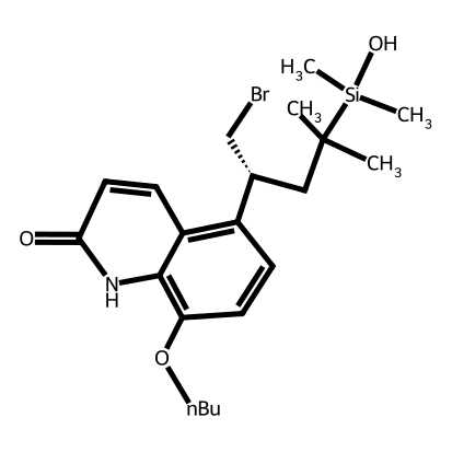 CCCCOc1ccc([C@H](CBr)CC(C)(C)[Si](C)(C)O)c2ccc(=O)[nH]c12